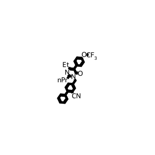 CCCc1nc(CC)c(-c2ccc(OC(F)(F)F)cc2)c(=O)n1Cc1ccc(-c2ccccc2)c(C#N)c1